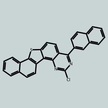 Clc1nc(-c2ccc3ccccc3c2)c2ccc3sc4c5ccccc5ccc4c3c2n1